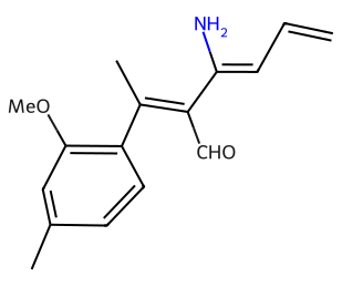 C=C/C=C(N)/C(C=O)=C(\C)c1ccc(C)cc1OC